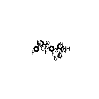 CN(C)[C@H]1CCN(c2n[nH]c3nccc(Oc4ccc(NC(=O)c5ccnn(-c6ccc(F)cc6)c5=O)cc4F)c23)C1